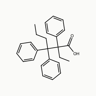 CCCC(c1ccccc1)(c1ccccc1)C(CC)(C(=O)O)c1ccccc1